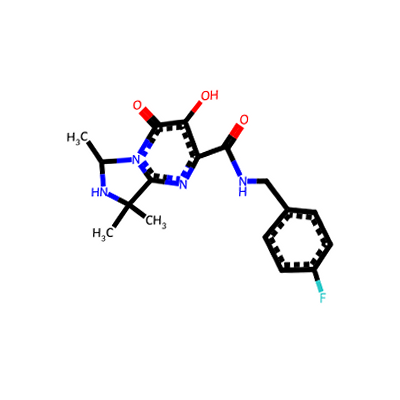 CC1NC(C)(C)c2nc(C(=O)NCc3ccc(F)cc3)c(O)c(=O)n21